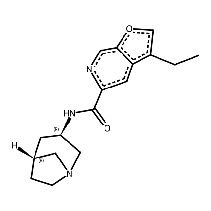 CCc1coc2cnc(C(=O)N[C@@H]3C[C@H]4CCN(C4)C3)cc12